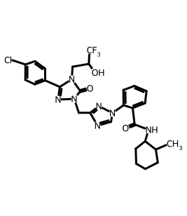 CC1CCCCC1NC(=O)c1ccccc1-n1cnc(Cn2nc(-c3ccc(Cl)cc3)n(CC(O)C(F)(F)F)c2=O)n1